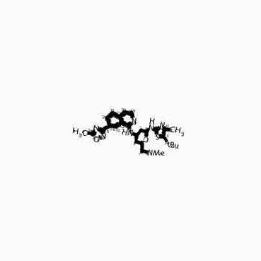 CNCCCC(CC(=O)Nc1nc(C)c(C(C)(C)C)s1)Nc1nccc2ccc(-c3noc(C)n3)cc12